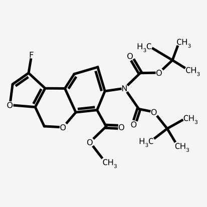 COC(=O)c1c(N(C(=O)OC(C)(C)C)C(=O)OC(C)(C)C)ccc2c1OCc1occ(F)c1-2